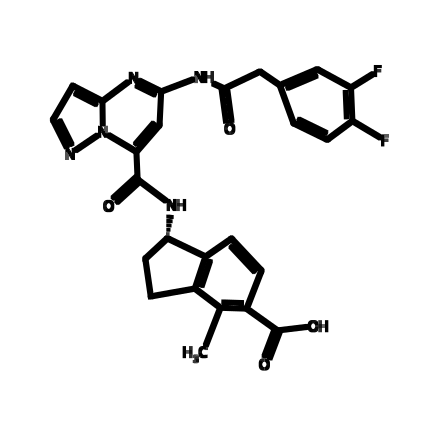 Cc1c(C(=O)O)ccc2c1CC[C@@H]2NC(=O)c1cc(NC(=O)Cc2ccc(F)c(F)c2)nc2ccnn12